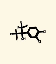 OC(c1ccc(Cl)c(Cl)c1)(C(F)(F)F)C(F)(F)F